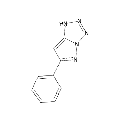 c1ccc(-c2cc3[nH]nnn3n2)cc1